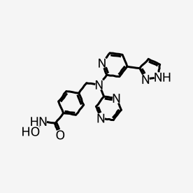 O=C(NO)c1ccc(CN(c2cnccn2)c2cc(-c3cc[nH]n3)ccn2)cc1